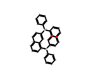 c1ccc(P(c2ccccc2)c2ccc3cccc(P(c4ccccc4)c4ccccc4)c3c2)cc1